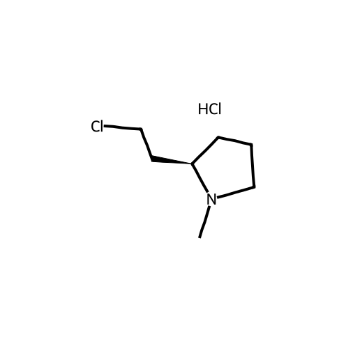 CN1CCC[C@@H]1CCCl.Cl